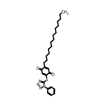 CCCCCCCCCCCCCCCCC1=CC(=O)C(Sc2nnnn2-c2ccccc2)=CC1=O